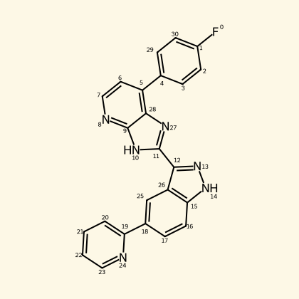 Fc1ccc(-c2ccnc3[nH]c(-c4n[nH]c5ccc(-c6ccccn6)cc45)nc23)cc1